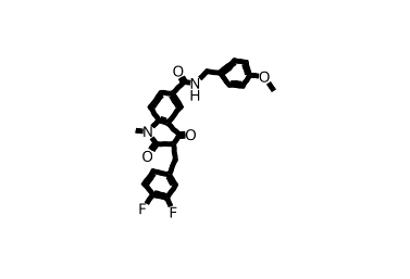 COc1ccc(CNC(=O)c2ccc3c(c2)C(=O)C(Cc2ccc(F)c(F)c2)C(=O)N3C)cc1